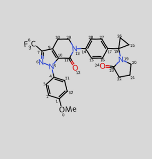 COc1ccc(-n2nc(C(F)(F)F)c3c2C(=O)N(c2ccc(C4(N5CCCC5=O)CC4)cc2)CC3)cc1